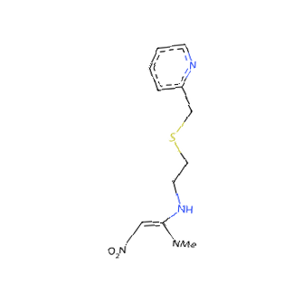 CNC(=C[N+](=O)[O-])NCCSCc1ccccn1